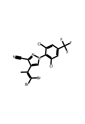 CC(=C(Br)Br)c1cn(-c2c(Cl)cc(C(F)(F)F)cc2Cl)nc1C#N